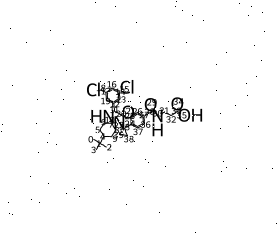 CC(C)(C)C1CCC2(CC1)NC(c1cc(Cl)cc(Cl)c1)C(=O)N2C1(c2ccc(C(=O)NCCC(=O)O)cc2)CC1